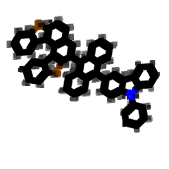 c1ccc(-n2c3ccccc3c3cc(-c4c5ccccc5c(-c5cc6ccc7sc8ccccc8c7c6c6c5sc5ccccc56)c5ccccc45)ccc32)cc1